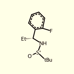 CC[C@@H](N[S+]([O-])C(C)(C)C)c1ccccc1F